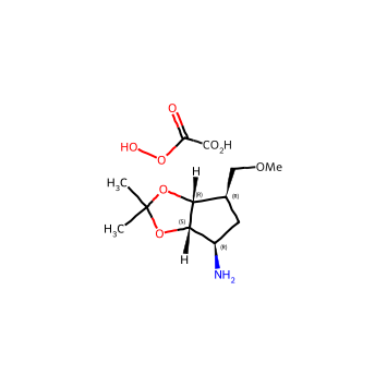 COC[C@H]1C[C@@H](N)[C@@H]2OC(C)(C)O[C@H]12.O=C(O)C(=O)OO